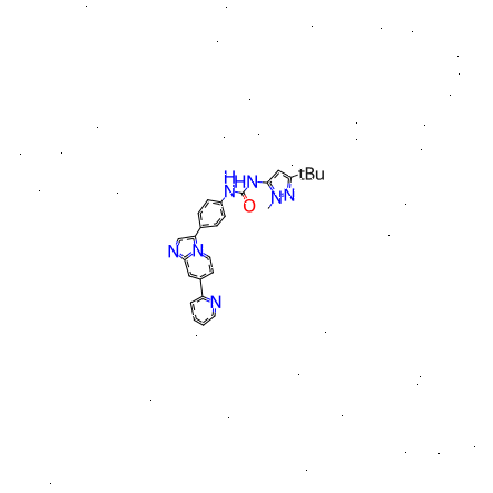 Cn1nc(C(C)(C)C)cc1NC(=O)Nc1ccc(-c2cnc3cc(-c4ccccn4)ccn23)cc1